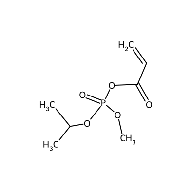 C=CC(=O)OP(=O)(OC)OC(C)C